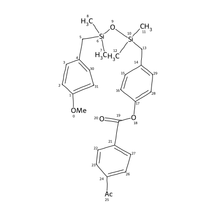 COc1ccc(C[Si](C)(C)O[Si](C)(C)Cc2ccc(OC(=O)c3ccc(C(C)=O)cc3)cc2)cc1